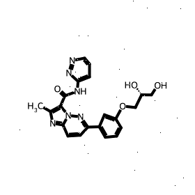 Cc1nc2ccc(-c3cccc(OC[C@H](O)CO)c3)nn2c1C(=O)Nc1cccnn1